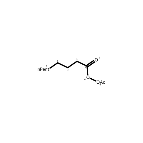 CCCCCCCCC(=O)OOC(C)=O